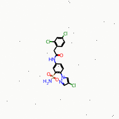 NS(=O)(=O)c1cc(NC(=O)Cc2ccc(Cl)cc2Cl)ccc1-n1cc(Cl)cn1